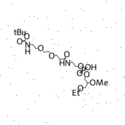 CCOCC(COP(=O)(O)OCCNC(=O)CCOCCOCCNC(=O)OC(C)(C)C)OC